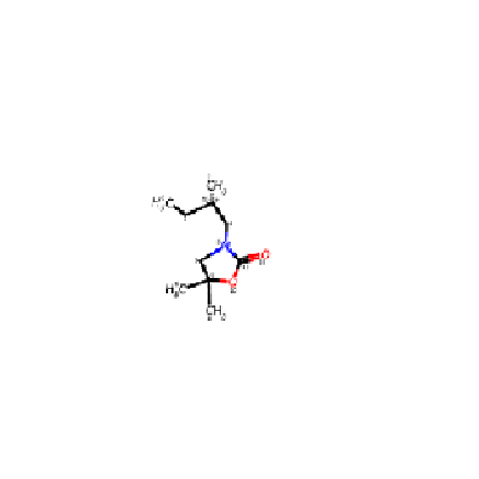 CC[C@H](C)CN1CC(C)(C)OC1=O